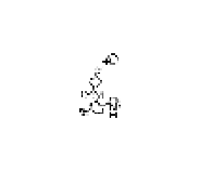 O=C(Nc1cc(Br)ccc1-c1ccn[nH]1)c1ccc(OCCN2CCCCC2)cc1